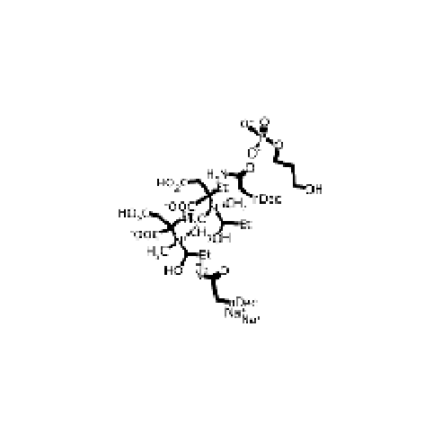 CCC(O)[N+](C)(C)C(CC)(CC(=O)O)C(=O)[O-].CCC(O)[N+](C)(C)C(CC)(CC(=O)O)C(=O)[O-].CCCCCCCCCCCC(N)=O.CCCCCCCCCCCC(N)=O.O=P([O-])([O-])OCCCO.[Na+].[Na+]